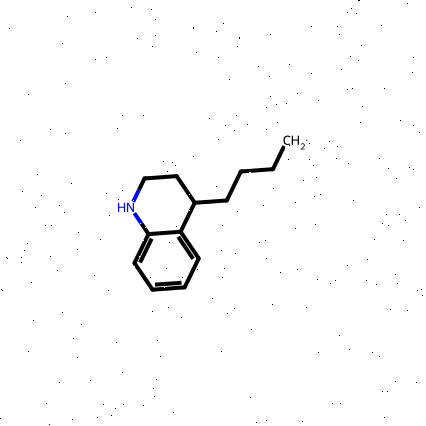 [CH2]CCCC1CCNc2ccccc21